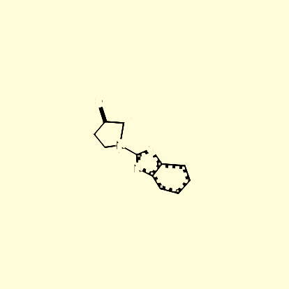 O=C1CCN(c2nc3ccccc3s2)C1